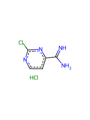 Cl.N=C(N)c1ccnc(Cl)n1